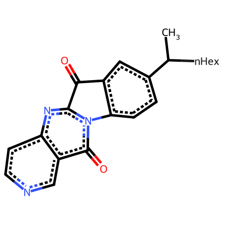 CCCCCCC(C)c1ccc2c(c1)C(=O)c1nc3ccncc3c(=O)n1-2